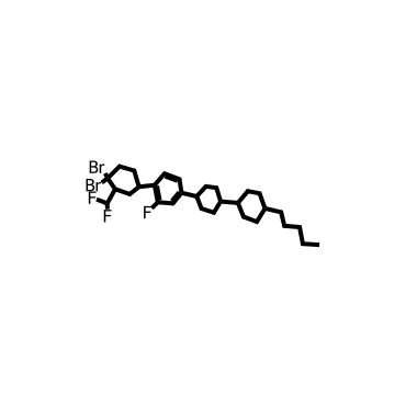 CCCCCC1CCC(C2CCC(c3ccc(C4CCC(Br)(Br)C(C(F)F)C4)c(F)c3)CC2)CC1